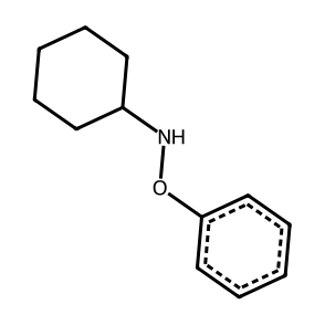 c1ccc(ONC2CCCCC2)cc1